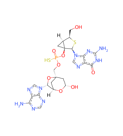 Nc1nc2c(ncn2[C@@H]2S[C@H](CO)[C@@H]3C[C@]32OP(=O)(S)OC[C@]23C[C@H](O)O[C@H](C2)[C@H](n2cnc4c(N)ncnc42)O3)c(=O)[nH]1